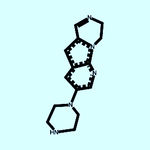 C1=NCCn2c1cc1cc(N3CCNCC3)cnc12